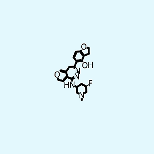 CN1CC(NC2=NN=C(c3ccc4c(c3O)CCO4)CC3=COCC=C32)C[C@@H](F)C1